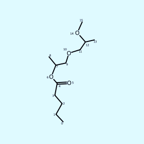 CCCCC(=O)OC(C)COCC(C)OC